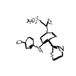 CCC(CC(=O)O)c1ccc(-c2nccs2)c(Nc2ccc(Cl)cc2)c1